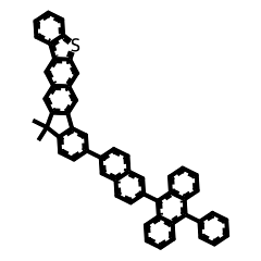 CC1(C)c2ccc(-c3ccc4cc(-c5c6ccccc6c(-c6ccccc6)c6ccccc56)ccc4c3)cc2-c2cc3cc4sc5ccccc5c4cc3cc21